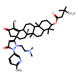 COc1ccc(-n2c(=O)cc(C34CC[C@]5(C)C(CCC6C7(C)CCC(OC(=O)CC(C)(C)C(=O)O)C(C)(C)C7CCC65C)C3=C(C(C)C)C(=O)C4)n2CCN(C)C)cn1